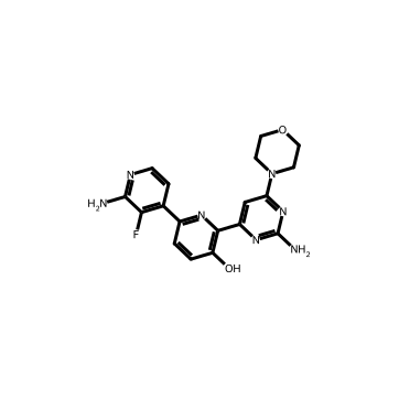 Nc1nc(-c2nc(-c3ccnc(N)c3F)ccc2O)cc(N2CCOCC2)n1